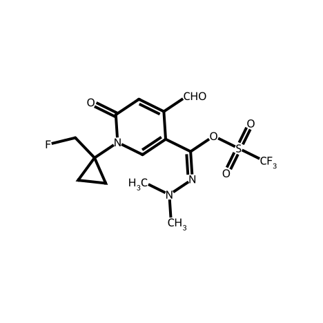 CN(C)/N=C(/OS(=O)(=O)C(F)(F)F)c1cn(C2(CF)CC2)c(=O)cc1C=O